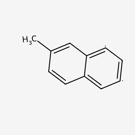 Cc1ccc2c[c]c[c]c2c1